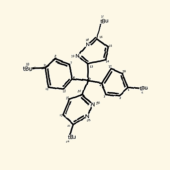 CC(C)(C)c1ccc(C(c2ccc(C(C)(C)C)cc2)(c2ccc(C(C)(C)C)nn2)c2ccc(C(C)(C)C)nn2)cc1